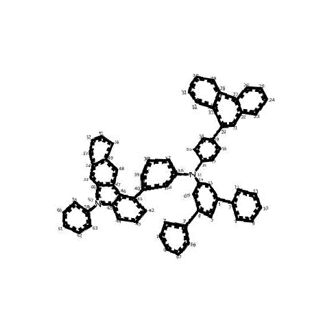 c1ccc(-c2cc(-c3ccccc3)cc(N(c3ccc(-c4cc5ccccc5c5ccccc45)cc3)c3cccc(-c4cccc5c4c4cc6ccccc6cc4n5-c4ccccc4)c3)c2)cc1